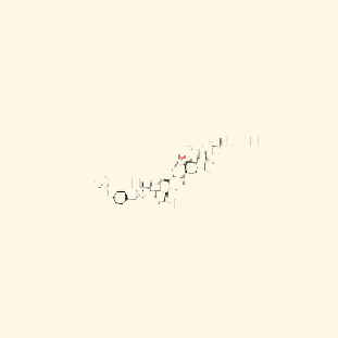 CC(C)C1=C2[C@H]3CC[C@@H]4[C@@]5(C)CC[C@H](OC(=O)[C@H]6C[C@@H](C(=O)O)C6(C)C)C(C)(C)[C@@H]5CC[C@@]4(C)[C@]3(C)CC[C@@]2([C@@H](O)CNCc2ccc(CN3CCSCC3)cc2)CC1=O